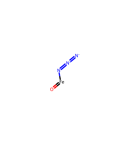 [N-]=[N+]=[N][Fe]=[O]